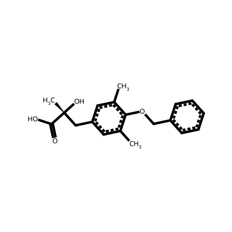 Cc1cc(C[C@@](C)(O)C(=O)O)cc(C)c1OCc1ccccc1